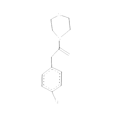 Nc1ccc(CC(=O)N2CCNCC2)cc1